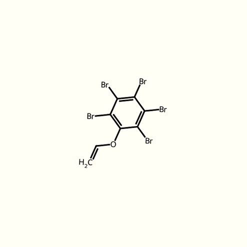 C=COc1c(Br)c(Br)c(Br)c(Br)c1Br